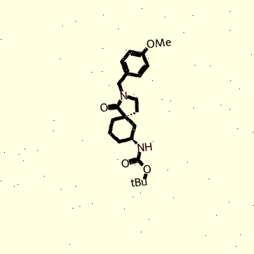 COc1ccc(CN2CC[C@]3(CCC[C@H](NC(=O)OC(C)(C)C)C3)C2=O)cc1